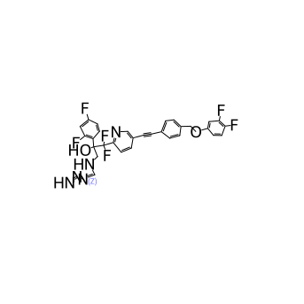 N=N/N=C\NCC(O)(c1ccc(F)cc1F)C(F)(F)c1ccc(C#Cc2ccc(COc3ccc(F)c(F)c3)cc2)cn1